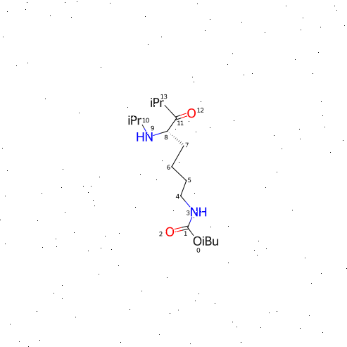 CC(C)COC(=O)NCCCC[C@H](NC(C)C)C(=O)C(C)C